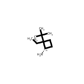 CCC1(C(C)(C)C)CC[C@@H]1N